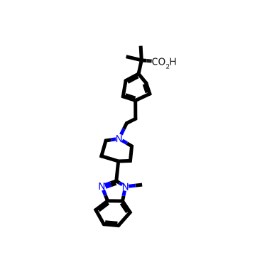 Cn1c(C2CCN(CCc3ccc(C(C)(C)C(=O)O)cc3)CC2)nc2ccccc21